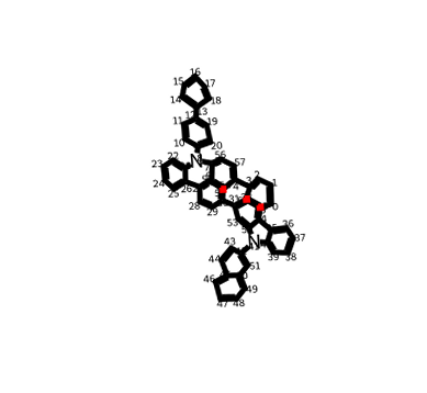 c1ccc(-c2ccc(N(c3ccc(-c4ccccc4)cc3)c3ccccc3-c3ccc(-c4ccc5c6ccccc6n(-c6ccc7ccccc7c6)c5c4)cc3)cc2)cc1